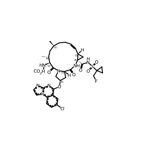 C[C@H]1CCC=C[C@@H]2C[C@@]2(C(=O)NS(=O)(=O)C2(CF)CC2)NC(=O)[C@@H]2C[C@@H](Oc3nc4nccn4c4ccc(Cl)cc34)CN2C(=O)[C@@H](NC(=O)O)[C@H](C)C1